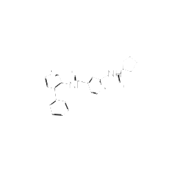 O=C(Nc1cnccc1-c1ccccc1)c1ccnc(NC(=O)C2CCCC2)c1